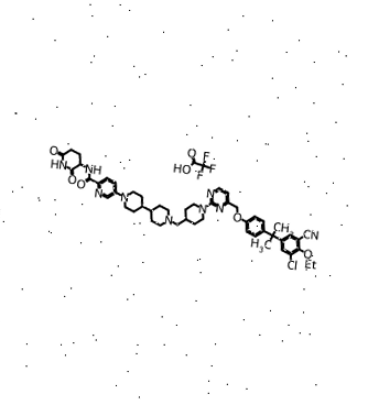 CCOc1c(Cl)cc(C(C)(C)c2ccc(OCc3ccnc(N4CCC(CN5CCC(C6CCN(c7ccc(C(=O)NC8CCC(=O)NC8=O)nc7)CC6)CC5)CC4)n3)cc2)cc1C#N.O=C(O)C(F)(F)F